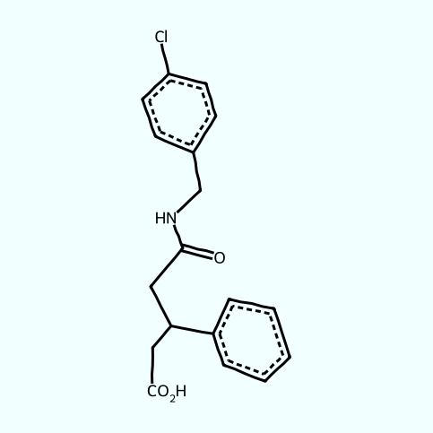 O=C(O)CC(CC(=O)NCc1ccc(Cl)cc1)c1ccccc1